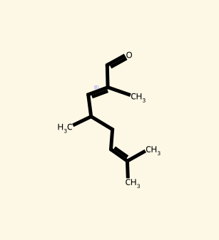 CC(C)=CCC(C)/C=C(\C)C=O